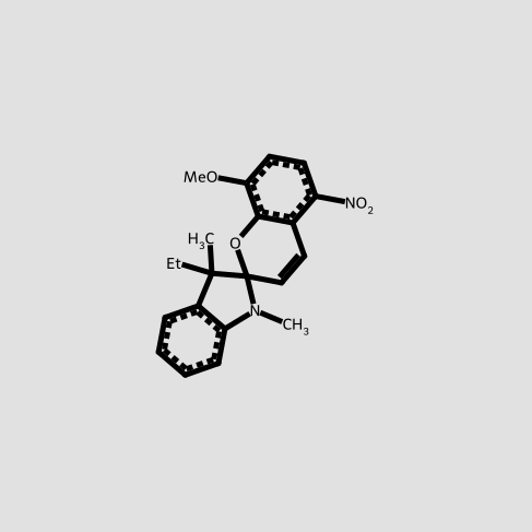 CCC1(C)c2ccccc2N(C)C12C=Cc1c([N+](=O)[O-])ccc(OC)c1O2